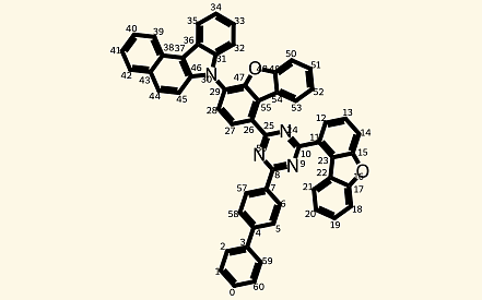 c1ccc(-c2ccc(-c3nc(-c4cccc5oc6ccccc6c45)nc(-c4ccc(-n5c6ccccc6c6c7ccccc7ccc65)c5oc6ccccc6c45)n3)cc2)cc1